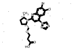 C[C@H]1CC[C@@H](COCCC(=O)O)N1c1cc(-n2cncn2)c2cc(Cl)c(Br)cc2n1